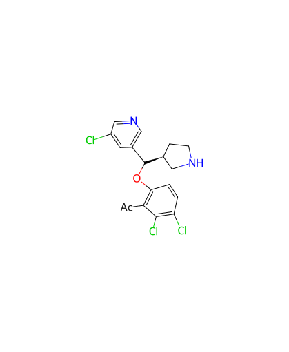 CC(=O)c1c(OC(c2cncc(Cl)c2)[C@H]2CCNC2)ccc(Cl)c1Cl